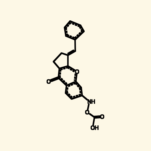 O=C(O)ONc1ccc2c(=O)c3c(oc2c1)C(=Cc1ccccc1)CC3